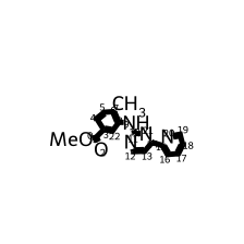 COC(=O)c1ccc(C)c(Nc2nccc(-c3ccccn3)n2)c1